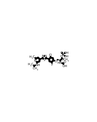 Cc1cc(-c2nnc(-c3cc(F)c(OC[C@H](NC(=O)O)[C@H](C)OP(=O)(O)O)cc3Cl)s2)cc(NC(C)C)n1